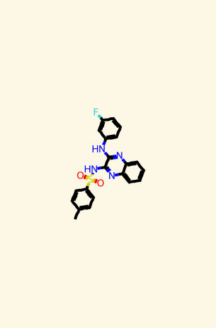 Cc1ccc(S(=O)(=O)Nc2nc3ccccc3nc2Nc2cccc(F)c2)cc1